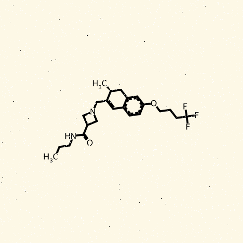 CCCNC(=O)C1CN(CC2=Cc3ccc(OCCCC(F)(F)F)cc3C[C@@H]2C)C1